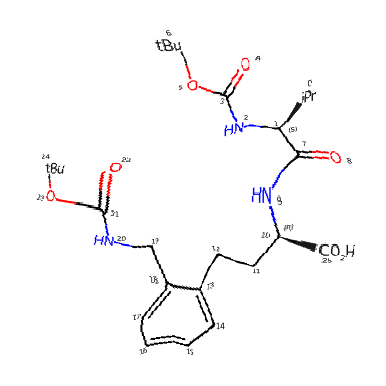 CC(C)[C@H](NC(=O)OC(C)(C)C)C(=O)N[C@H](CCc1ccccc1CNC(=O)OC(C)(C)C)C(=O)O